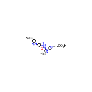 COc1ccc2c(c1)ncn2-c1ccc(NC(=O)Nc2cc(C(C)(C)C)nn2C2CCN(CCCCC(=O)O)CC2)cc1